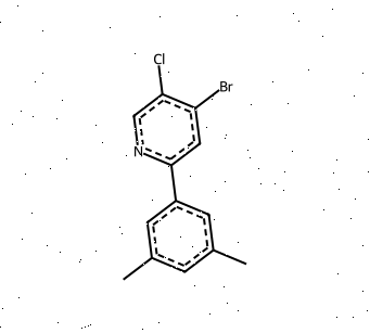 Cc1cc(C)cc(-c2cc(Br)c(Cl)cn2)c1